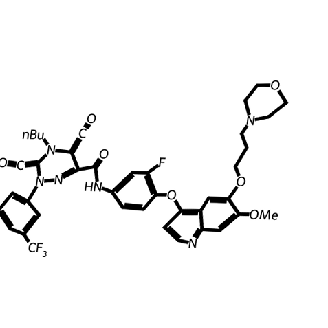 CCCCN1C(=C=O)C(C(=O)Nc2ccc(Oc3ccnc4cc(OC)c(OCCCN5CCOCC5)cc34)c(F)c2)=NN(c2cccc(C(F)(F)F)c2)C1=C=O